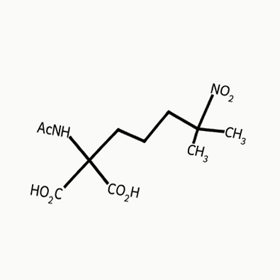 CC(=O)NC(CCCC(C)(C)[N+](=O)[O-])(C(=O)O)C(=O)O